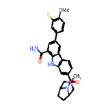 COc1ccc(-c2cc(C(N)=O)c3[nH]c4cc(C(=O)N5C6CCC5CN(C)C6)ccc4c3c2)cc1F